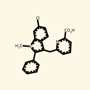 Cn1c(-c2ccccc2)c(Cc2cccc(C(=O)O)n2)c2ccc(Cl)cc21